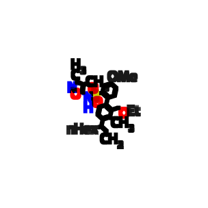 C=CC(CCCCCC)c1ccc(-c2ccc(OC)cc2S(=O)(=O)Nc2onc(C)c2C)c(COCC)c1C